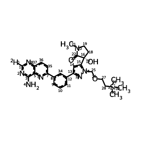 [2H]c1nc(N)c2nc(-c3cccc(-c4cc([C@]5(O)CCN(C)C5=O)n(COCC[Si](C)(C)C)n4)c3)ccc2n1